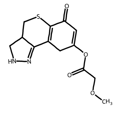 COCC(=O)OC1=CC(=O)C2=C(C1)C1=NNCC1CS2